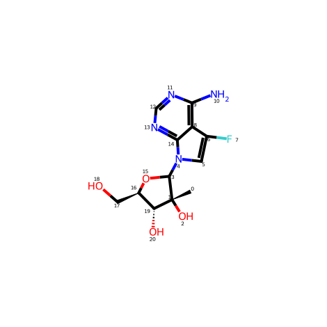 C[C@]1(O)C(n2cc(F)c3c(N)ncnc32)O[C@H](CO)[C@H]1O